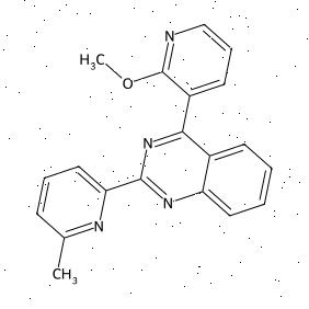 COc1ncccc1-c1nc(-c2cccc(C)n2)nc2ccccc12